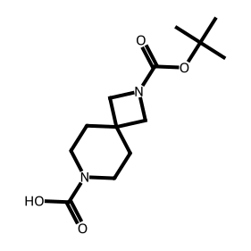 CC(C)(C)OC(=O)N1CC2(CCN(C(=O)O)CC2)C1